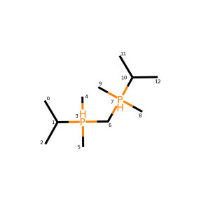 CC(C)[PH](C)(C)C[PH](C)(C)C(C)C